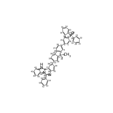 CC1(I)c2cc(-c3ccc(P(=O)(c4ccccc4)c4ccccc4)cc3)ccc2-c2ccc(-c3ccc4c(c3)C3Nc5ccccc5N3C(c3ccccc3)=N4)cc21